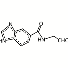 O=CCNC(=O)c1ccc2[nH]cnc2c1